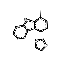 Cc1cccc2c1[nH]c1ccccc12.c1cocn1